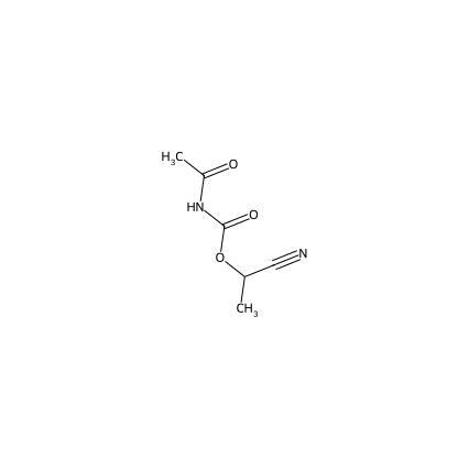 CC(=O)NC(=O)OC(C)C#N